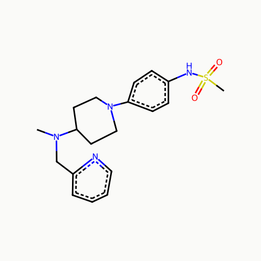 CN(Cc1ccccn1)C1CCN(c2ccc(NS(C)(=O)=O)cc2)CC1